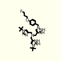 CC(C)(C)N1C=C(CN(CC2=CN(Cc3ccc(OCCCF)cc3)NN2)Cc2cn(C(C)(C)C)nn2)NN1